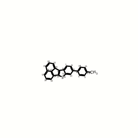 Cc1ccc(-c2ccc3c4c(sc3c2)-c2cccc3cccc-4c23)cc1